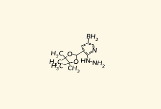 Bc1cnc(NN)c(C2OC(C)(C)C(C)(C)O2)c1